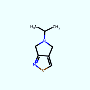 CC(C)N1Cc2csnc2C1